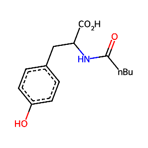 CCCCC(=O)NC(Cc1ccc(O)cc1)C(=O)O